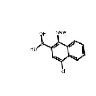 CSc1c(B(O)O)cc(Cl)c2ccccc12